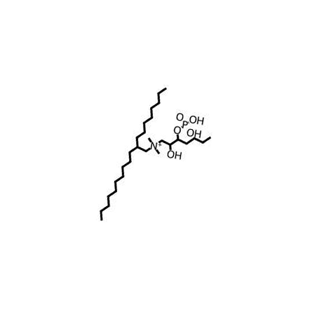 CCCCCCCCCCC(CCCCCCCC)C[N+](C)(C)CC(O)C(CCCC)OP(=O)(O)O